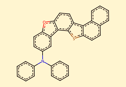 c1ccc(N(c2ccccc2)c2ccc3oc4ccc5c(sc6ccc7ccccc7c65)c4c3c2)cc1